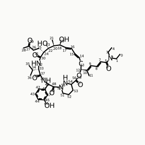 CCN(CC)C(=O)/C=C/C=C(\C)[C@@H]1C/C=C/C=C/[C@H](O)[C@H](C)[C@@H](O)[C@@H](CCC(C)=O)C(=O)N[C@@H](C(C)C)C(=O)NC(c2cccc(O)c2)C(=O)N2CCCC(N2)C(=O)O1